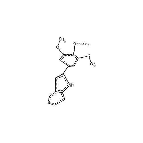 COc1cc(-c2cc3ccccc3[nH]2)cc(OC)c1OC